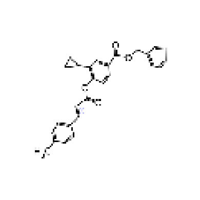 Cc1ccc(/C=C/C(=O)Oc2ccc(C(=O)OCc3ccccc3)cc2C2CC2)cc1